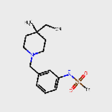 CCS(=O)(=O)Nc1cccc(CN2CCC(C)(CC#N)CC2)c1